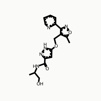 Cc1onc(-c2ccccn2)c1COc1cc(C(=O)NC(C)CO)n[nH]1